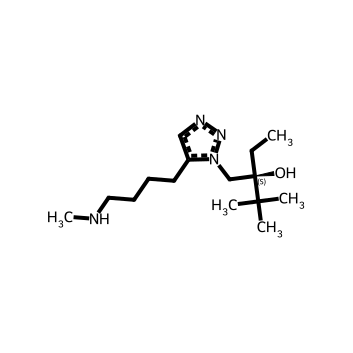 CC[C@@](O)(Cn1nncc1CCCCNC)C(C)(C)C